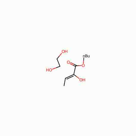 CC=C(O)C(=O)OCCCC.OCCO